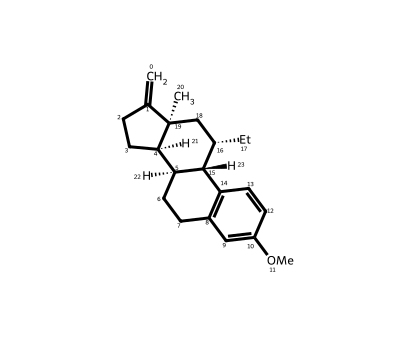 C=C1CC[C@@H]2[C@@H]3CCc4cc(OC)ccc4[C@H]3[C@@H](CC)C[C@]12C